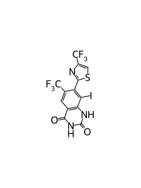 O=c1[nH]c(=O)c2cc(C(F)(F)F)c(-c3nc(C(F)(F)F)cs3)c(I)c2[nH]1